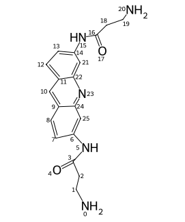 NCCC(=O)Nc1ccc2cc3ccc(NC(=O)CCN)cc3nc2c1